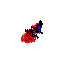 CC(=O)NC1C(O)[C@H](O[C@@H]2OC(CO)[C@H](O)[C@H](O)[C@@H]2O)[C@H](CO)O[C@H]1O[C@H](C(O)[C@H](O)CCO)[C@H](O)OCC1O[C@@H](O[C@@H]2C(CO)O[C@@H](O[C@@H]3C(CO)O[C@@H](NC(=O)C[C@H](NC(=O)OCC4c5ccccc5-c5ccccc54)C(=O)O)[C@@H](NC(C)=O)C3O)[C@@H](NC(C)=O)C2O)[C@H](O)C(O[C@H]2O[C@H](CO)[C@@H](O)C(O)C2O[C@@H]2OC(CO)[C@@H](O[C@@H]3OC(CO)[C@H](O)C(O)[C@@H]3O)C(O)[C@@H]2NC(C)=O)[C@@H]1O